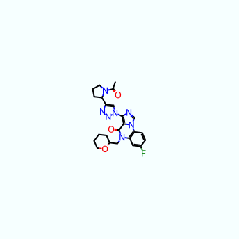 CC(=O)N1CCCC1c1cn(-c2ncn3c2c(=O)n(CC2CCCCO2)c2cc(F)ccc23)nn1